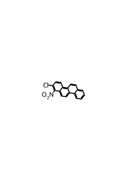 O=[N+]([O-])c1c(Cl)ccc2c1ccc1c3ccccc3ccc21